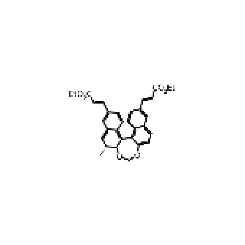 CCOC(=O)/C=C/c1ccc2c(c1)=C[C@@H](C)C1OCOc3ccc4cc(/C=C/C(=O)OCC)ccc4c3C=21